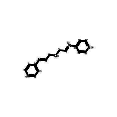 C(COCC=Nc1ccncc1)=Nc1ccncc1